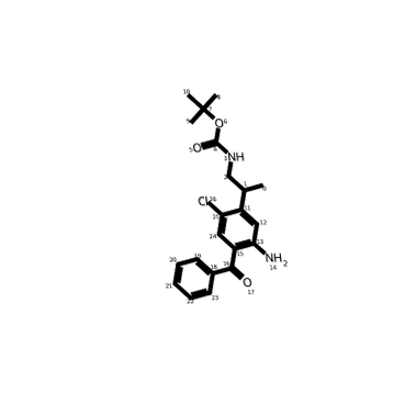 CC(CNC(=O)OC(C)(C)C)c1cc(N)c(C(=O)c2ccccc2)cc1Cl